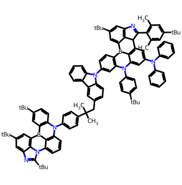 Cc1cc(C(C)(C)C)cc(C)c1C1=Nc2cc(C(C)(C)C)cc3c2C1c1cc(N(c2ccccc2)c2ccccc2)cc2c1B3c1ccc(-n3c4ccccc4c4cc(CC(C)(C)c5ccc(N6c7ccc(C(C)(C)C)cc7B7c8c6cccc8-n6c(C(C)(C)C)nc8cc(C(C)(C)C)cc7c86)cc5)ccc43)cc1N2c1ccc(C(C)(C)C)cc1